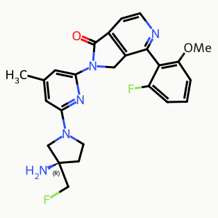 COc1cccc(F)c1-c1nccc2c1CN(c1cc(C)cc(N3CC[C@](N)(CF)C3)n1)C2=O